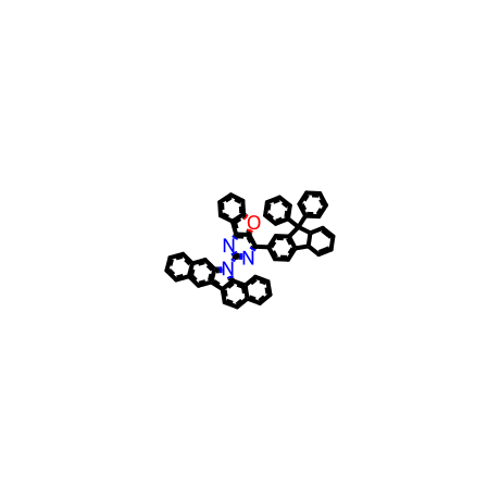 C1=CC2c3ccc(-c4nc(-n5c6cc7ccccc7cc6c6ccc7ccccc7c65)nc5c4oc4ccccc45)cc3C(c3ccccc3)(c3ccccc3)C2C=C1